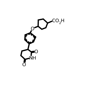 O=C1CCC(c2ccc(OC3CCC(C(=O)O)CC3)cc2)C(=O)N1